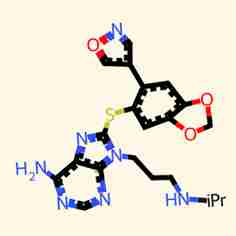 CC(C)NCCCn1c(Sc2cc3c(cc2-c2cnoc2)OCO3)nc2c(N)ncnc21